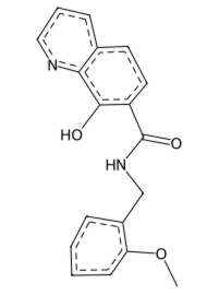 COc1ccccc1CNC(=O)c1ccc2cccnc2c1O